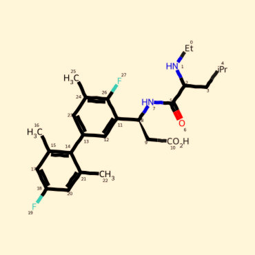 CCNC(CC(C)C)C(=O)N[C@@H](CC(=O)O)c1cc(-c2c(C)cc(F)cc2C)cc(C)c1F